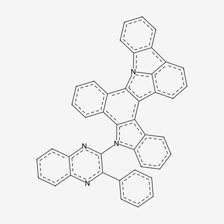 c1ccc(-c2nc3ccccc3nc2-n2c3ccccc3c3c4c5cccc6c7ccccc7n(c65)c4c4ccccc4c32)cc1